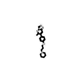 Cc1nn2cnnc2cc1-c1ccc(OCCCN2CCCCC2)cc1